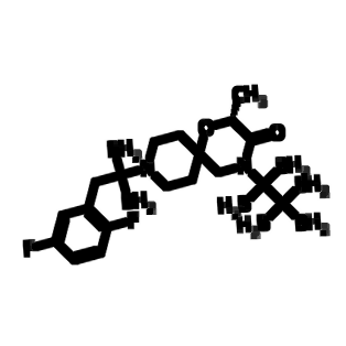 BC(B)(Cc1cc(F)ccc1F)N1CCC2(CC1)CN(C(B)(B)C(B)(B)B)C(=O)[C@@H](C)O2